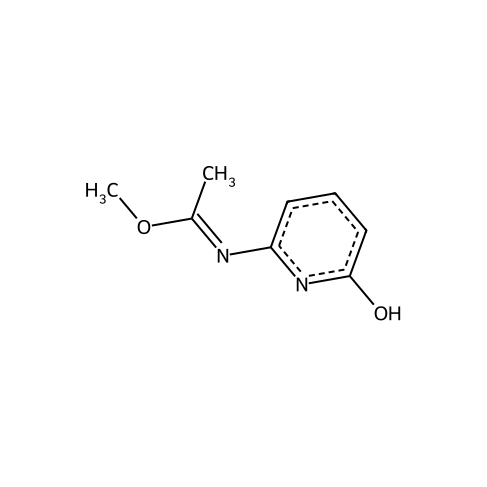 CO/C(C)=N/c1cccc(O)n1